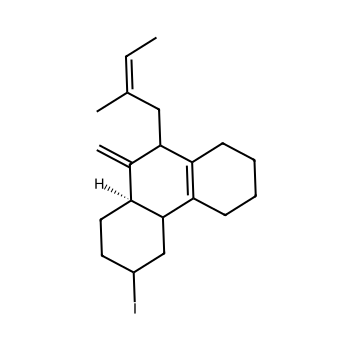 C=C1C(C/C(C)=C\C)C2=C(CCCC2)C2CC(I)CC[C@@H]12